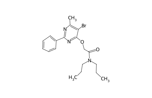 CCCN(CCC)C(=O)COc1nc(-c2ccccc2)nc(C)c1Br